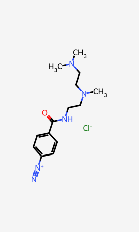 CN(C)CCN(C)CCNC(=O)c1ccc([N+]#N)cc1.[Cl-]